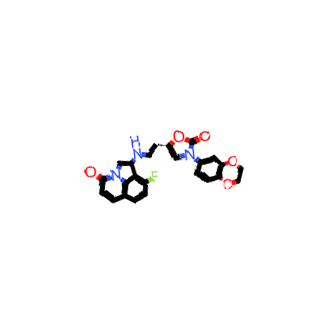 O=C1O[C@@H](CCNC2Cn3c(=O)ccc4ccc(F)c2c43)CN1c1ccc2c(c1)OCCO2